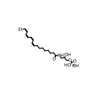 CC\C=C/C=C\C=C/C=C\CCCCCCCC(=O)NCC(O)COP(=O)(O)O